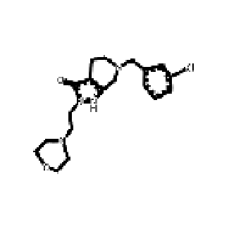 O=c1c2c([nH]n1CCN1CCOCC1)CN(Cc1cccc(Cl)c1)CC2